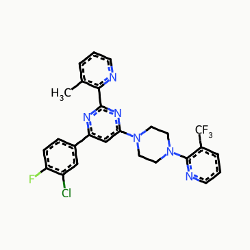 Cc1cccnc1-c1nc(-c2ccc(F)c(Cl)c2)cc(N2CCN(c3ncccc3C(F)(F)F)CC2)n1